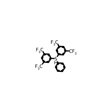 FC(F)(F)c1cc([SH](c2ccccc2)c2cc(C(F)(F)F)cc(C(F)(F)F)c2)cc(C(F)(F)F)c1